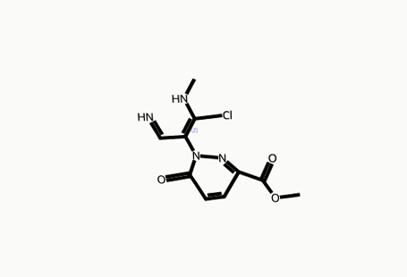 CN/C(Cl)=C(\C=N)n1nc(C(=O)OC)ccc1=O